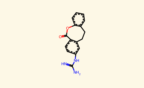 N=C(N)Nc1ccc2c(c1)CCc1ccccc1OC2=O